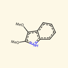 COc1[nH]c2ccccc2c1OC